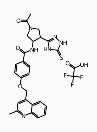 CC(=O)N1CC(NC(=O)c2ccc(OCc3cc(C)nc4ccccc34)cc2)C(c2n[nH]c(=S)[nH]2)C1.O=C(O)C(F)(F)F